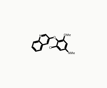 CNc1cc(Cl)c(Oc2cnc3ccccc3c2)c(OC)c1